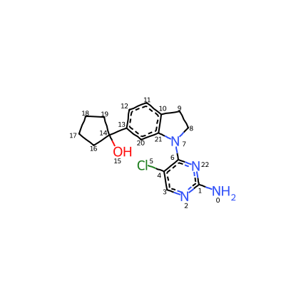 Nc1ncc(Cl)c(N2CCc3ccc(C4(O)CCCC4)cc32)n1